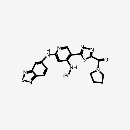 CC(C)Nc1cc(Nc2ccc3nsnc3c2)ncc1-c1nnc(C(=O)N2CCCC2)s1